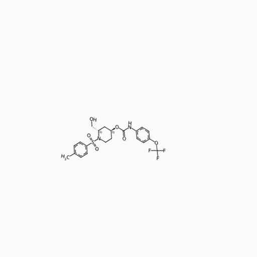 Cc1ccc(S(=O)(=O)N2CC[C@H](OC(=O)Nc3ccc(OC(F)(F)F)cc3)C[C@H]2CO)cc1